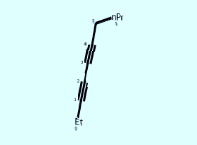 [CH2]CC#CC#CCCCC